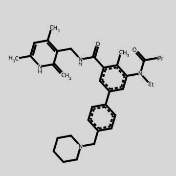 C=C1NC(C)=CC(C)=C1CNC(=O)c1cc(-c2ccc(CN3CCCCC3)cc2)cc(N(CC)C(=O)C(C)C)c1C